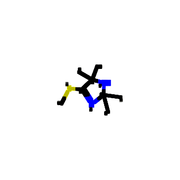 CSC1=NC(C)(C)NC1(C)C